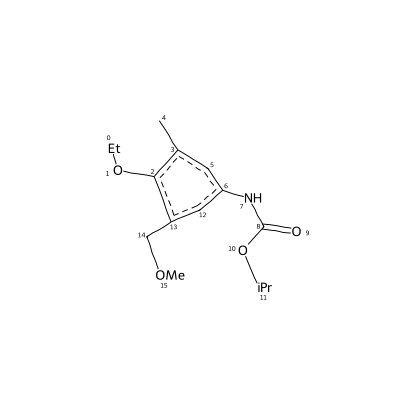 CCOc1c(C)cc(NC(=O)OC(C)C)cc1COC